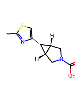 Cc1nc([C@@H]2[C@@H]3CN(C(=O)O)C[C@@H]32)cs1